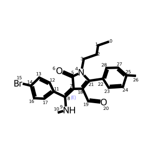 CCCCN1C(=O)/C(=C(/NC)c2ccc(Br)cc2)C(C=O)=C1c1ccc(C)cc1